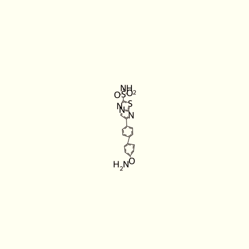 NOc1ccc(-c2ccc(-c3cn4nc(S(N)(=O)=O)sc4n3)cc2)cc1